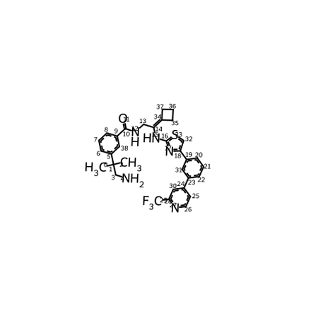 CC(C)(CN)c1cccc(C(=O)NCC(Nc2nc(-c3cccc(-c4ccnc(C(F)(F)F)c4)c3)cs2)=C2CCC2)c1